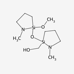 CO[Si]1(O[Si]2(CO)CCCN2C)CCCN1C